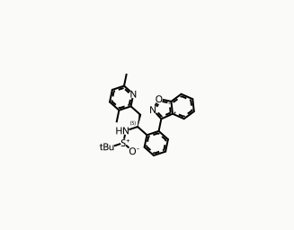 Cc1ccc(C)c(C[C@H](N[S+]([O-])C(C)(C)C)c2ccccc2-c2noc3ccccc23)n1